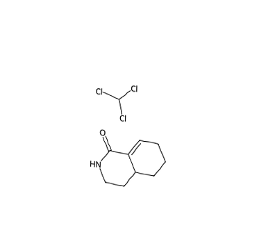 ClC(Cl)Cl.O=C1NCCC2CCCC=C12